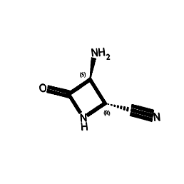 N#C[C@@H]1NC(=O)[C@H]1N